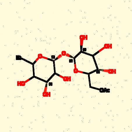 CCC1O[C@H](O[C@H]2OC(COC(C)=O)[C@@H](O)C(O)[C@@H]2O)C(O)[C@H](O)C1O